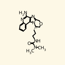 CN(C)C(=O)NCCC[C@H]1COCc2nc3c(N)nc4ccccc4c3n21